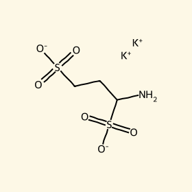 NC(CCS(=O)(=O)[O-])S(=O)(=O)[O-].[K+].[K+]